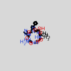 CC(C)(C)[C@@H]1NC(=O)COCCNC(=O)[C@@H](CN)NC(=O)[C@@H](Cc2ccncc2)NC(=O)[C@@H](Cc2ccc(-c3ccccc3)cc2)NC(=O)[C@@H]2C[C@@H](O)CN2C1=O